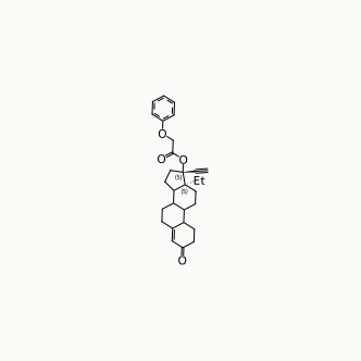 C#C[C@]1(OC(=O)COc2ccccc2)CCC2C3CCC4=CC(=O)CCC4C3CC[C@@]21CC